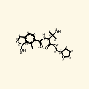 Cc1c(C(=O)NC(C(=O)OC[C@H]2CCCO2)C(C)(C)O)ccc2c1B(O)OC2